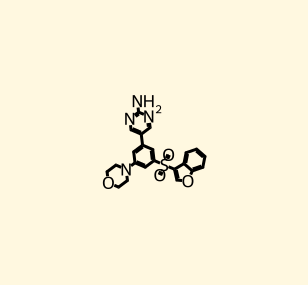 Nc1ncc(-c2cc(N3CCOCC3)cc(S(=O)(=O)c3coc4ccccc34)c2)cn1